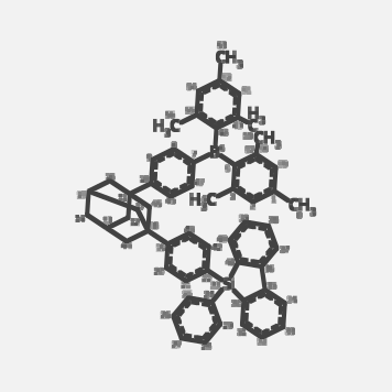 Cc1cc(C)c(B(c2ccc(C34CC5CC(C3)CC(c3ccc([Si]6(c7ccccc7)c7ccccc7-c7ccccc76)cc3)(C5)C4)cc2)c2c(C)cc(C)cc2C)c(C)c1